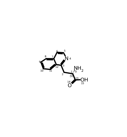 N[C@@H](Cc1nccc2ccccc12)C(=O)O